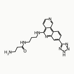 NCCC(=O)NCCCNc1nc2cc(-c3nn[nH]n3)ccc2c2cnccc12